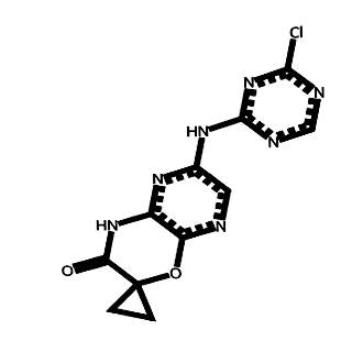 O=C1Nc2nc(Nc3ncnc(Cl)n3)cnc2OC12CC2